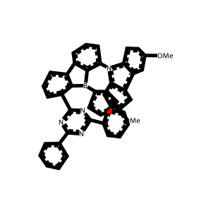 COc1ccc2c(c1)c1cc(OC)ccc1n2-c1cccc2c1B(c1ccccc1)c1c(-c3nc(-c4ccccc4)nc(-c4ccccc4)n3)cccc1-2